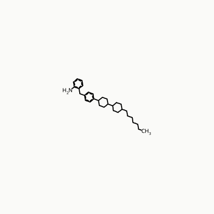 CCCCCCCC1CCC(C2CCC(c3ccc(Cc4ccccc4N)cc3)CC2)CC1